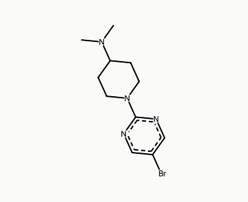 CN(C)C1CCN(c2ncc(Br)cn2)CC1